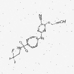 C#CCOc1nc(Nc2ccc(S(=O)(=O)NCC(F)(F)F)cc2)ncc1C#N